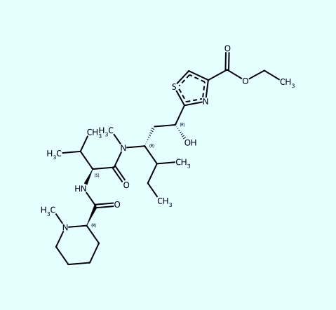 CCOC(=O)c1csc([C@H](O)C[C@H](C(C)CC)N(C)C(=O)[C@@H](NC(=O)[C@H]2CCCCN2C)C(C)C)n1